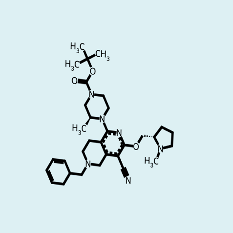 C[C@H]1CN(C(=O)OC(C)(C)C)CCN1c1nc(OC[C@@H]2CCCN2C)c(C#N)c2c1CCN(CC1C=CC=CC1)C2